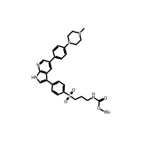 CN1CCN(c2ccc(-c3cnc4[nH]cc(-c5ccc(S(=O)(=O)CCCNC(=O)OC(C)(C)C)cc5)c4c3)cc2)CC1